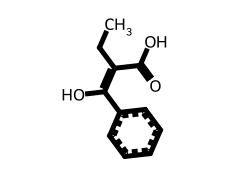 CCC(C(=O)O)=C(O)c1ccccc1